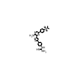 CC(C)S(=O)(=O)c1ccc(-c2cnc(N)c(-c3cc(-c4ccc(NC(=N)N)cc4)no3)n2)cc1